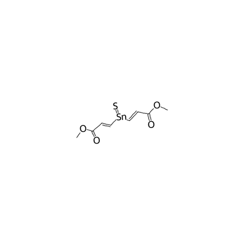 COC(=O)C=[CH][Sn](=[S])[CH]=CC(=O)OC